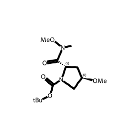 CO[C@@H]1C[C@@H](C(=O)N(C)OC)N(C(=O)OC(C)(C)C)C1